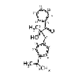 C=C(C)c1ccc(CC(C)(O)C(=O)c2ccccc2)cc1